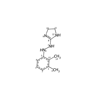 Cc1cccc(NNC2=NCCN2)c1C